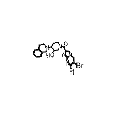 CCc1nc2nc(C(=O)N3CCC(N4CCc5ccccc5C4)C(O)C3)cn2cc1Br